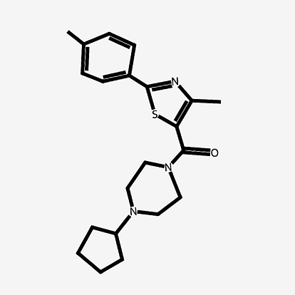 Cc1ccc(-c2nc(C)c(C(=O)N3CCN(C4CCCC4)CC3)s2)cc1